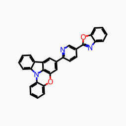 c1ccc2c(c1)Oc1cc(-c3ccc(-c4nc5ccccc5o4)cn3)cc3c4ccccc4n-2c13